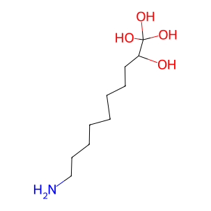 NCCCCCCCCC(O)C(O)(O)O